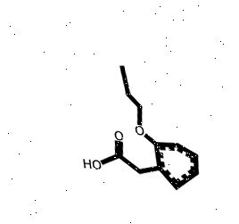 CCCOc1ccccc1CC(=O)O